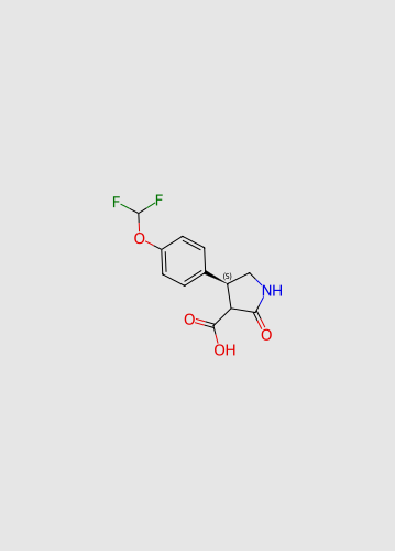 O=C(O)C1C(=O)NC[C@@H]1c1ccc(OC(F)F)cc1